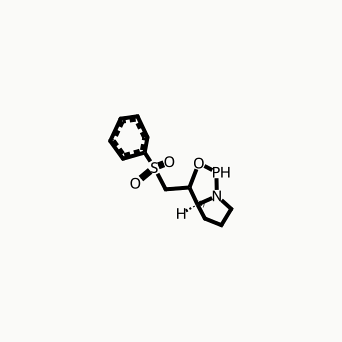 O=S(=O)(CC1OPN2CCC[C@@H]12)c1ccccc1